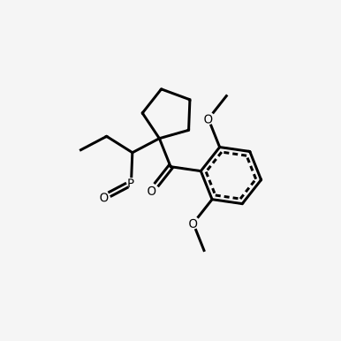 CCC(P=O)C1(C(=O)c2c(OC)cccc2OC)CCCC1